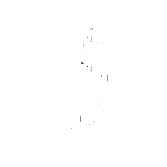 CN(C)Cc1ccc(CSCCNC2=NS(=O)(=O)c3c2cccc3[N+](=O)[O-])o1